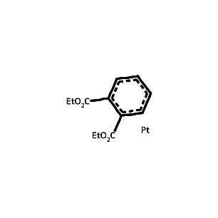 CCOC(=O)c1ccccc1C(=O)OCC.[Pt]